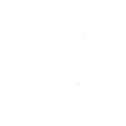 CC(=O)N1CCC(Nc2cc(=O)n(C)cc2Br)C1